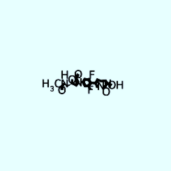 CC(=O)NC[C@H]1CN(c2cc(F)c(C3=CC4CN(O)C(=O)N4C3)c(F)c2)C(=O)O1